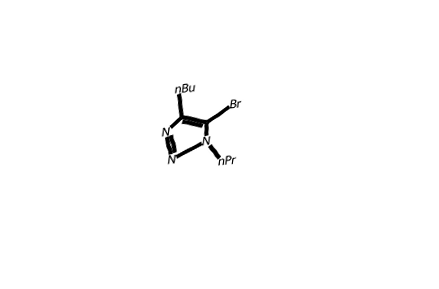 CCCCc1nnn(CCC)c1Br